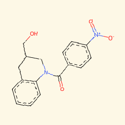 O=C(c1ccc([N+](=O)[O-])cc1)N1CC(CO)Cc2ccccc21